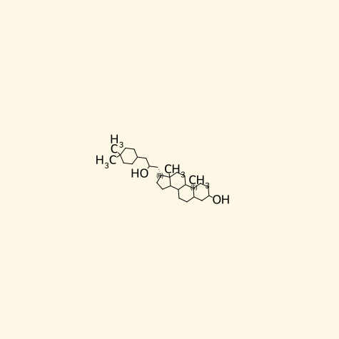 CC1(C)CCC(CC(O)C[C@H]2CCC3C4CCC5CC(O)CC[C@]5(C)C4CCC32C)CC1